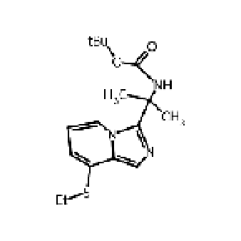 CCSc1cccn2c(C(C)(C)NC(=O)OC(C)(C)C)ncc12